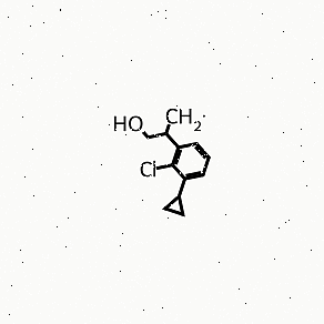 [CH2]C(CO)c1cccc(C2CC2)c1Cl